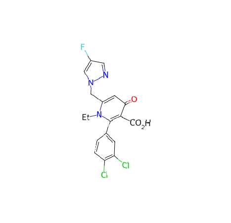 CCn1c(Cn2cc(F)cn2)cc(=O)c(C(=O)O)c1-c1ccc(Cl)c(Cl)c1